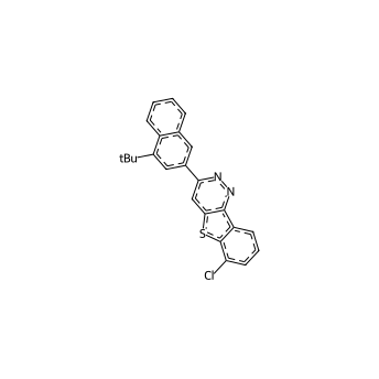 CC(C)(C)c1cc(-c2cc3sc4c(Cl)cccc4c3nn2)cc2ccccc12